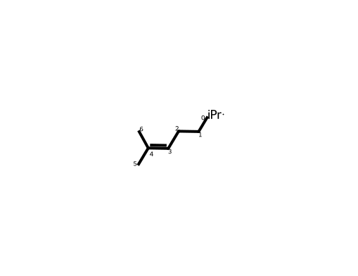 C[C](C)CCC=C(C)C